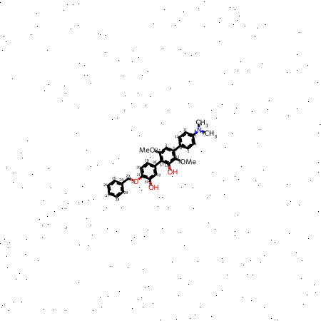 COc1cc(-c2ccc(N(C)C)cc2)c(OC)c(O)c1-c1ccc(OCc2ccccc2)c(O)c1